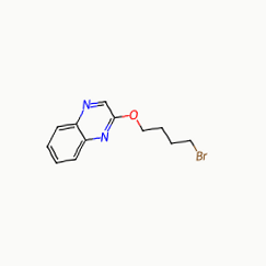 BrCCCCOc1cnc2ccccc2n1